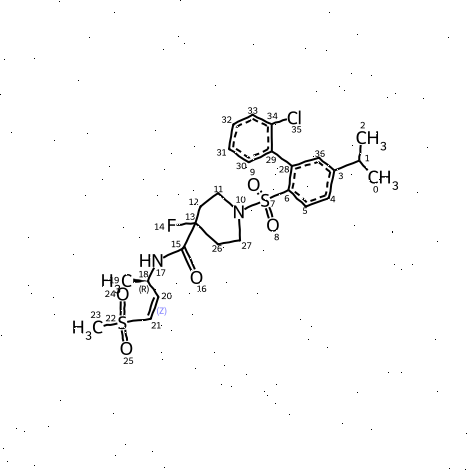 CC(C)c1ccc(S(=O)(=O)N2CCC(F)(C(=O)N[C@H](C)/C=C\S(C)(=O)=O)CC2)c(-c2ccccc2Cl)c1